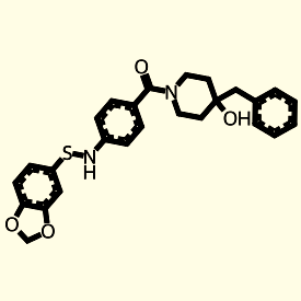 O=C(c1ccc(NSc2ccc3c(c2)OCO3)cc1)N1CCC(O)(Cc2ccccc2)CC1